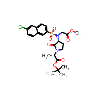 COC(=O)CN([C@H]1CCN([C@@H](C)C(=O)OC(C)(C)C)C1=O)S(=O)(=O)c1ccc2cc(Cl)ccc2c1